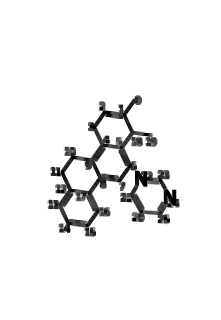 CC1=CCc2c(ccc3c2CCc2ccccc2-3)C1C.c1cncnc1